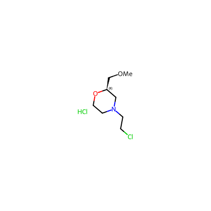 COC[C@H]1CN(CCCl)CCO1.Cl